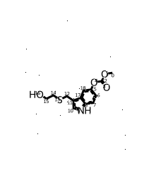 COC(=O)Oc1ccc2[nH]cc(CSCCO)c2c1